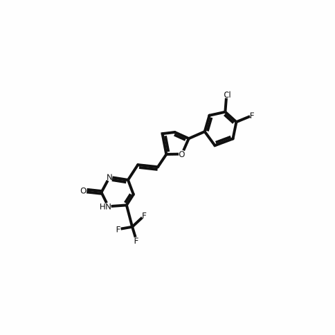 O=c1nc(/C=C/c2ccc(-c3ccc(F)c(Cl)c3)o2)cc(C(F)(F)F)[nH]1